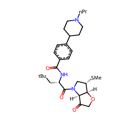 CCCN1CCC(c2ccc(C(=O)N[C@@H](CC(C)(C)C)C(=O)N3C[C@H](SC)[C@H]4OCC(=O)[C@H]43)cc2)CC1